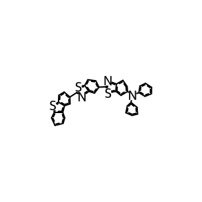 c1ccc(N(c2ccccc2)c2ccc3nc(-c4ccc5sc(-c6ccc7sc8ccccc8c7c6)nc5c4)sc3c2)cc1